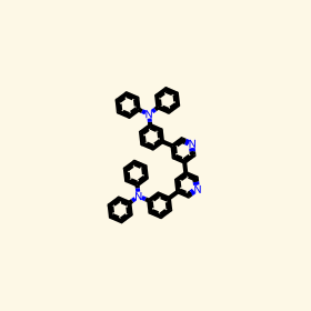 c1ccc(N(c2ccccc2)c2cccc(-c3cncc(-c4cncc(-c5cccc(N(c6ccccc6)c6ccccc6)c5)c4)c3)c2)cc1